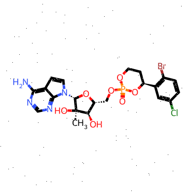 C[C@@]1(O)[C@H](O)[C@@H](COP2(=O)OCC[C@@H](c3cc(Cl)ccc3Br)O2)O[C@H]1n1ccc2c(N)ncnc21